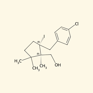 CC1(C)CC[C@@](I)(Cc2ccc(Cl)cc2)[C@@]1(C)CO